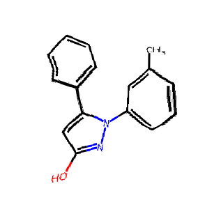 Cc1cccc(-n2nc(O)cc2-c2ccccc2)c1